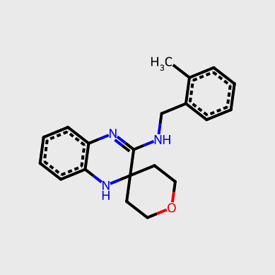 Cc1ccccc1CNC1=Nc2ccccc2NC12CCOCC2